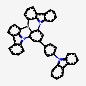 c1ccc2c(c1)c1ccccc1n2-c1ccc(-c2cc3c4c(c2)-n2c5ccccc5c5cccc(c52)B4c2cccc4c5ccccc5n-3c24)cc1